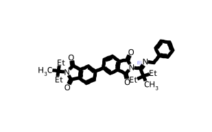 CCC(C)(CC)/C(=N\Cc1ccccc1)N1C(=O)c2ccc(-c3ccc4c(c3)C(=O)N(C(C)(CC)CC)C4=O)cc2C1=O